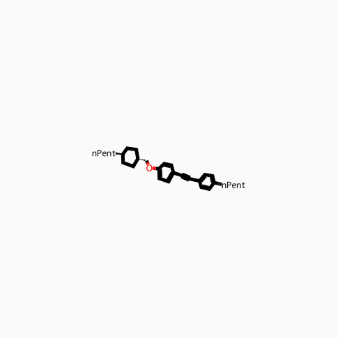 CCCCCc1ccc(C#Cc2ccc(OC[C@H]3CC[C@H](CCCCC)CC3)cc2)cc1